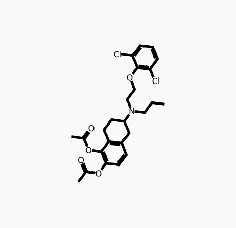 CCCN(CCOc1c(Cl)cccc1Cl)C1CCc2c(ccc(OC(C)=O)c2OC(C)=O)C1